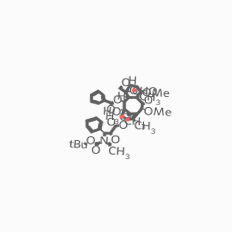 CO[C@H]1C(=O)[C@]2(C)[C@@H](OC)C[C@H]3OC[C@@]3(OC=O)[C@H]2[C@H](OC(=O)c2ccccc2)[C@]2(O)C[C@H](OC(=O)C3OC(C)N(C(=O)OC(C)(C)C)[C@H]3c3ccccc3)C(C)=C1C2(C)C